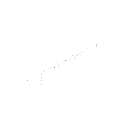 CC#CC#Cc1ccsc1